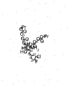 CC(C)OC(=O)OCOC(=O)O[C@@H]1[C@H]2[C@H](O)[C@H](CSc3ccc(F)c(Cl)c3)[C@](N)(OC(=O)OCOC(=O)OC(C)C)[C@H]12